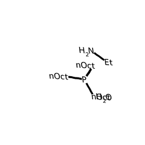 CCCCCCCCP(CCCCCCCC)CCCCCCCC.CCN.O